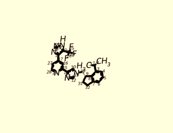 CC(C)c1cccc2c1[C@@H](Cn1cnc(-c3cc(-c4nn[nH]c4C(F)(F)F)ccn3)c1)CC2